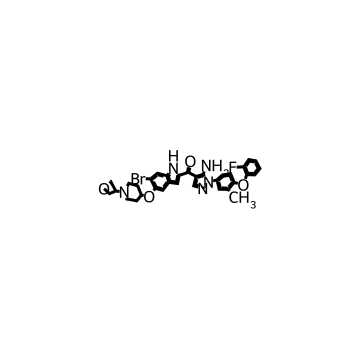 Cc1cc(-n2ncc(C(=O)c3cc4cc(OC5CCN(C6COC6)CC5)c(Br)cc4[nH]3)c2N)ccc1Oc1ccccc1F